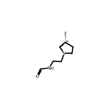 O=CNCCN1CC[C@@H](F)C1